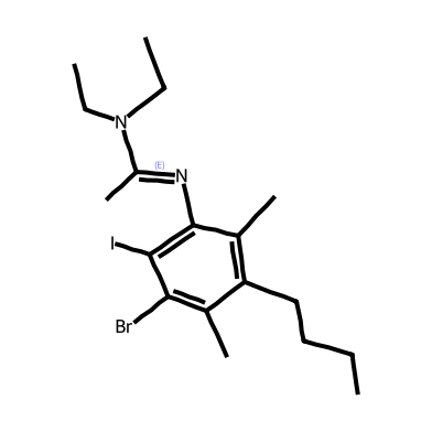 CCCCc1c(C)c(Br)c(I)c(/N=C(\C)N(CC)CC)c1C